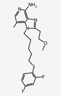 COCCc1nc2c(N)ncc(C)c2n1CCCCCSc1ccc(F)cc1F